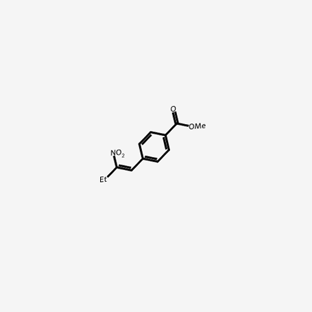 CCC(=Cc1ccc(C(=O)OC)cc1)[N+](=O)[O-]